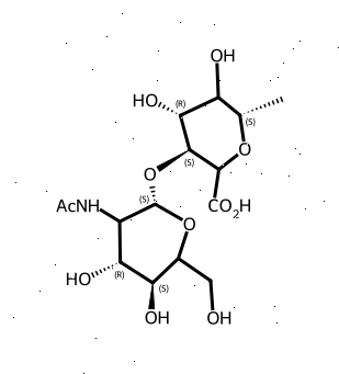 CC(=O)NC1[C@H](O[C@@H]2C(C(=O)O)O[C@@H](C)C(O)[C@H]2O)OC(CO)[C@@H](O)[C@@H]1O